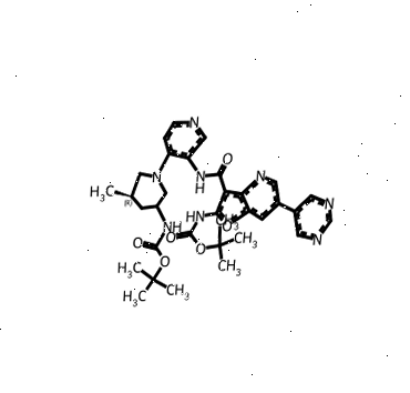 C[C@@H]1CC(NC(=O)OC(C)(C)C)CN(c2ccncc2NC(=O)c2c(NC(=O)OC(C)(C)C)oc3cc(-c4cncnc4)cnc23)C1